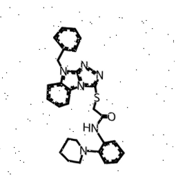 O=C(CSc1nnc2n(Cc3ccccc3)c3ccccc3n12)Nc1ccccc1N1CCCCC1